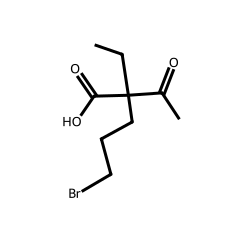 CCC(CCCBr)(C(C)=O)C(=O)O